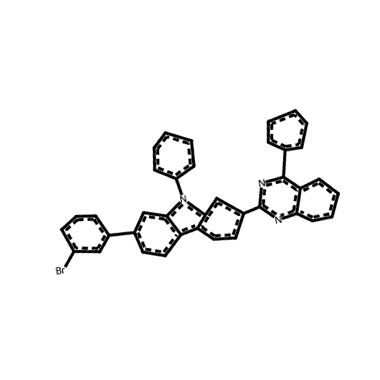 Brc1cccc(-c2ccc3c4ccc(-c5nc(-c6ccccc6)c6ccccc6n5)cc4n(-c4ccccc4)c3c2)c1